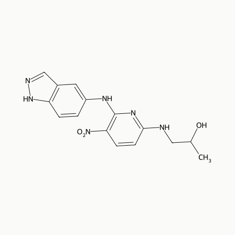 CC(O)CNc1ccc([N+](=O)[O-])c(Nc2ccc3[nH]ncc3c2)n1